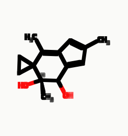 CC1=CC2=C(C)C3(CC3)[C@@](C)(O)C(O)C2=C1